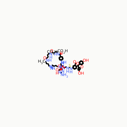 C[C@H](CCCn1cc(CCOC(=O)NCCNC(=S)Nc2ccc3c(c2)C(=O)OC32c3ccc(O)cc3Oc3cc(O)ccc32)nn1)NC(=O)CC[C@H](NC(=O)CC[C@H](NC(=O)c1ccc(NCc2cnc3nc(N)nc(O)c3n2)cc1)C(=O)O)C(=O)O